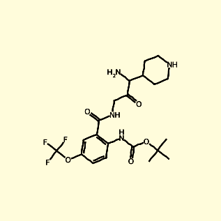 CC(C)(C)OC(=O)Nc1ccc(OC(F)(F)F)cc1C(=O)NCC(=O)C(N)C1CCNCC1